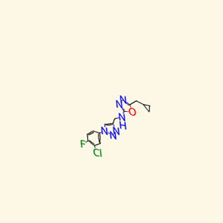 Fc1ccc(-n2cc(CNc3nnc(CC4CC4)o3)nn2)cc1Cl